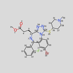 COC(=O)CC[C@@H]1N=C(c2ccccc2F)c2cc(Br)ccc2-n2c(SC3CCN(C)CC3)nnc21